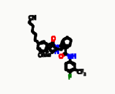 COc1ccc(CCCCCC#N)cc1C(=O)NC1C2CCC(/C2=C/C2CCC2)C1C(=O)Nc1ccc(F)c(C(F)(F)F)c1